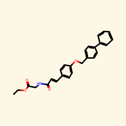 CCOC(=O)CNC(=O)/C=C/c1ccc(OCc2ccc(-c3ccccc3)cc2)cc1